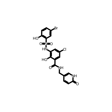 O=C(NCc1ccc(=O)[nH]c1)c1cc(Cl)cc(NS(=O)(=O)c2cc(Br)ccc2O)c1O